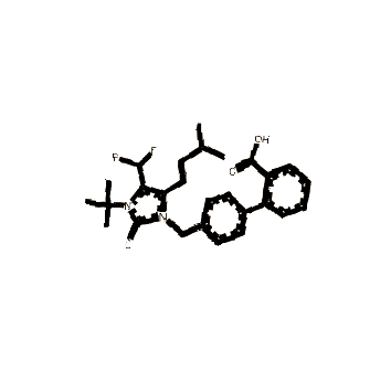 CC(C)CCc1c(C(F)F)n(C(C)(C)C)c(=O)n1Cc1ccc(-c2ccccc2C(=O)O)cc1